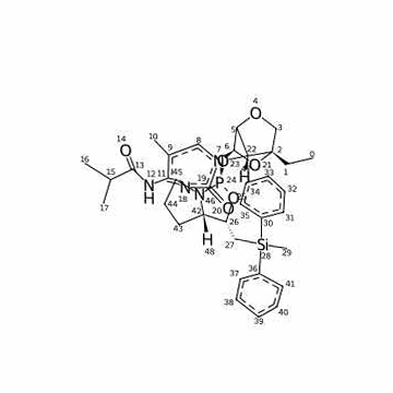 CC[C@@]12COC([C@H](n3cc(C)c(NC(=O)C(C)C)nc3=O)O1)[C@H]2O[P@@]1O[C@H](C[Si](C)(c2ccccc2)c2ccccc2)[C@@H]2CCCN21